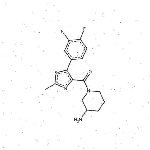 Cc1nc(C(=O)N2CCCC(N)C2)c(-c2ccc(F)c(F)c2)s1